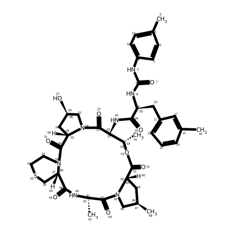 Cc1ccc(NC(=O)N[C@@H](Cc2cccc(C)c2)C(=O)N[C@@H]2C(=O)N3C[C@H](O)C[C@H]3C(=O)N3CCSC[C@H]3C(=O)N[C@@H](C)C(=O)N3C[C@H](C)C[C@H]3C(=O)O[C@H]2C)cc1